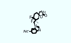 C[C@@]1(Cn2cnc3ccc(C#N)cc32)C[C@@]2(CCC1(F)F)CNC(=O)O2